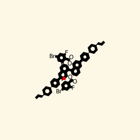 CCC[C@H]1CC[C@H](c2ccc(-c3ccc4c(-c5c(OC(=O)c6c(F)cc(Br)cc6F)ccc6cc(-c7ccc([C@H]8CC[C@H](CCC)CC8)cc7)ccc56)c(OC(=O)c5c(F)cc(Br)cc5F)ccc4c3)cc2)CC1